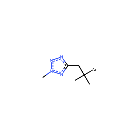 CC(=O)C(C)(C)Cc1nnn(C)n1